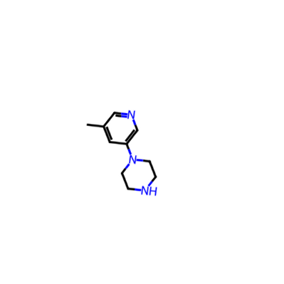 Cc1cncc(N2CCNCC2)c1